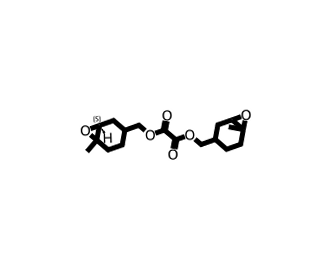 CC12CCC(COC(=O)C(=O)OCC3CCC4(C)O[C@H]4C3)CC1O2